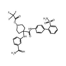 N=C(N)c1cccc(NC2(C(=O)Nc3ccc(-c4ccccc4S(N)(=O)=O)cc3)CCN(OC(=O)C(F)(F)F)CC2)c1